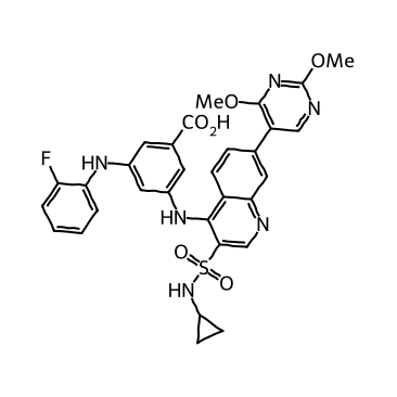 COc1ncc(-c2ccc3c(Nc4cc(Nc5ccccc5F)cc(C(=O)O)c4)c(S(=O)(=O)NC4CC4)cnc3c2)c(OC)n1